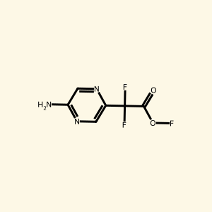 Nc1cnc(C(F)(F)C(=O)OF)cn1